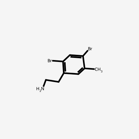 Cc1cc(CCN)c(Br)cc1Br